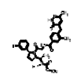 Cc1cc(Cc2ccc(C(=O)NCC(=O)N3[C@@H]([C@H](C)N(C)C(=O)OC(C)(C)C)CC[C@H]3c3cccc(F)c3)cc2C)c(=O)[nH]n1